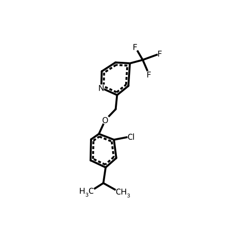 CC(C)c1ccc(OCc2cc(C(F)(F)F)ccn2)c(Cl)c1